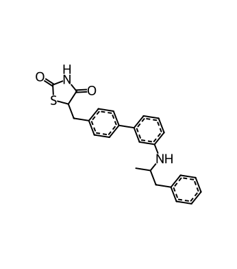 CC(Cc1ccccc1)Nc1cccc(-c2ccc(CC3SC(=O)NC3=O)cc2)c1